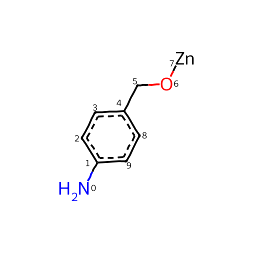 Nc1ccc(C[O][Zn])cc1